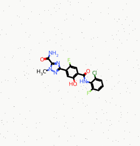 Cn1nc(-c2cc(O)c(C(=O)Nc3c(F)cccc3Cl)cc2F)nc1C(N)=O